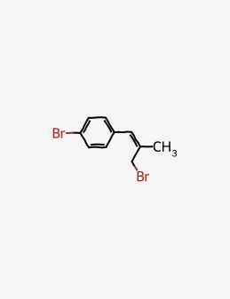 CC(=Cc1ccc(Br)cc1)CBr